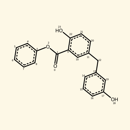 O=C(Oc1ccccc1)c1cc(Cc2cccc(O)c2)ccc1O